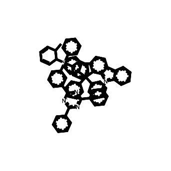 CC1C=CC=CC1[Si](c1ccccc1)(c1ccccc1)c1cccc(-c2nc(-c3ccccc3)nc(-c3cccc(-n4c5ccccc5c5ccc6c(c54)C(c4ccccc4)(c4ccccc4)c4ccccc4-6)c3)n2)c1